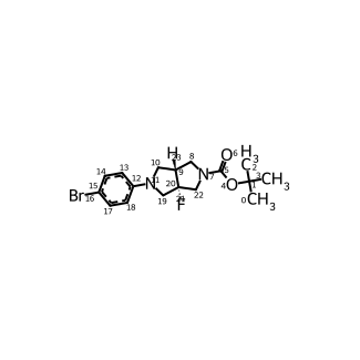 CC(C)(C)OC(=O)N1C[C@H]2CN(c3ccc(Br)cc3)C[C@]2(F)C1